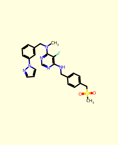 CN(Cc1cccc(-n2cccn2)c1)c1ncnc(NCc2ccc(CS(C)(=O)=O)cc2)c1F